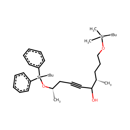 C[C@@H](CC#CC(O)[C@@H](C)CCCO[Si](C)(C)C(C)(C)C)O[Si](c1ccccc1)(c1ccccc1)C(C)(C)C